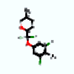 Cc1c(F)cc(OC(F)(F)C2CCC(C)CO2)cc1F